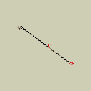 CCCCCCCCC=CCCCCCCCCCCCC(=O)OCCCCCCCCCCCCCCCCO